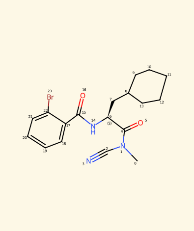 CN(C#N)C(=O)[C@H](CC1CCCCC1)NC(=O)c1ccccc1Br